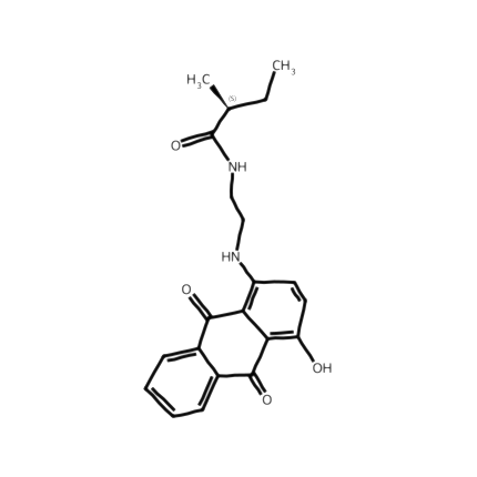 CC[C@H](C)C(=O)NCCNc1ccc(O)c2c1C(=O)c1ccccc1C2=O